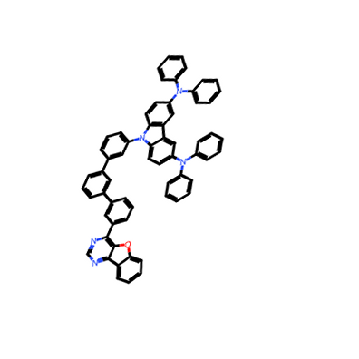 c1ccc(N(c2ccccc2)c2ccc3c(c2)c2cc(N(c4ccccc4)c4ccccc4)ccc2n3-c2cccc(-c3cccc(-c4cccc(-c5ncnc6c5oc5ccccc56)c4)c3)c2)cc1